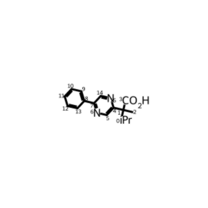 CC(C)C(C)(C(=O)O)c1cnc(-c2ccccc2)cn1